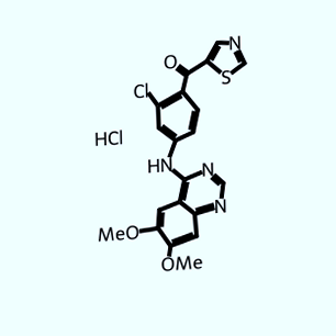 COc1cc2ncnc(Nc3ccc(C(=O)c4cncs4)c(Cl)c3)c2cc1OC.Cl